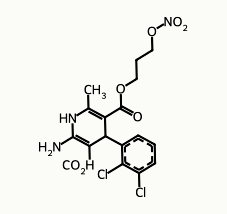 CC1=C(C(=O)OCCCO[N+](=O)[O-])C(c2cccc(Cl)c2Cl)C(C(=O)O)=C(N)N1